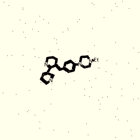 CCN1CCN(c2ccc(C=C3CCCN=C3c3cccnc3)cc2)CC1